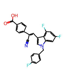 N#CC(=Cc1cn(Cc2ccc(F)cc2)c2cc(F)cc(F)c12)c1ccc(C(=O)O)cc1